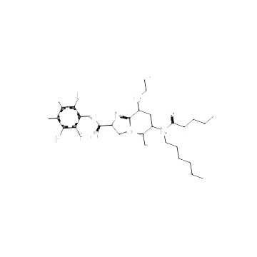 CCCCCCN(C(=O)CCCC)C(CC(OCC)C1=NC(C(=O)Oc2c(F)c(F)c(F)c(F)c2F)CS1)C(C)C